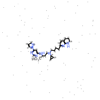 O=C(O)[C@H](CCN(CCCCc1ccc2c(n1)NCCC2)C1CC1)Nc1cc(-n2cccn2)ncn1